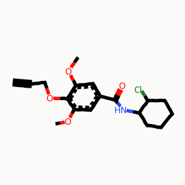 C#CCOc1c(OC)cc(C(=O)NC2CCCCC2Cl)cc1OC